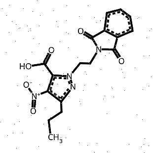 CCCc1nn(CCN2C(=O)c3ccccc3C2=O)c(C(=O)O)c1[N+](=O)[O-]